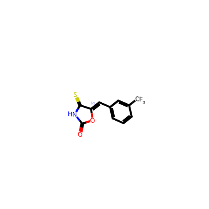 O=C1NC(=S)/C(=C/c2cccc(C(F)(F)F)c2)O1